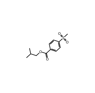 CC(C)COC(=O)c1ccc(S(C)(=O)=O)cc1